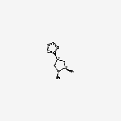 CC(C)[C@@H]1C[C@H](c2ccco2)CN1C(C)C